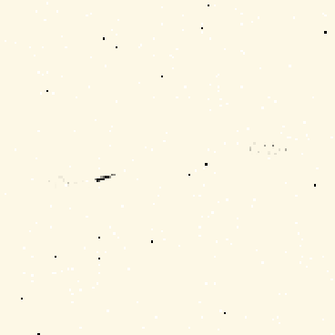 CCCCC[C@H]1CC[C@H](OC)CC1